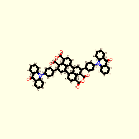 O=C1OC(=O)c2c(-c3ccc(-n4c5ccccc5c(=O)c5ccccc54)cc3)cc3c4ccc5c6c(c(-c7ccc(-n8c9ccccc9c(=O)c9ccccc98)cc7)cc(c7ccc1c2c73)c64)C(=O)OC5=O